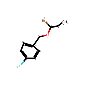 CCC(Br)OCc1ccc(F)cc1